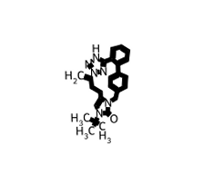 C=CCCc1cn(C(C)(C)C)c(=O)n1Cc1ccc(-c2ccccc2-c2nnn[nH]2)cc1